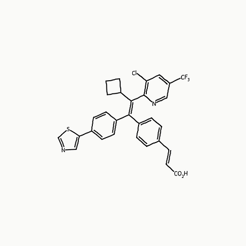 O=C(O)/C=C/c1ccc(/C(=C(\c2ncc(C(F)(F)F)cc2Cl)C2CCC2)c2ccc(-c3cncs3)cc2)cc1